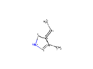 C/C=C1\CNC=C1C